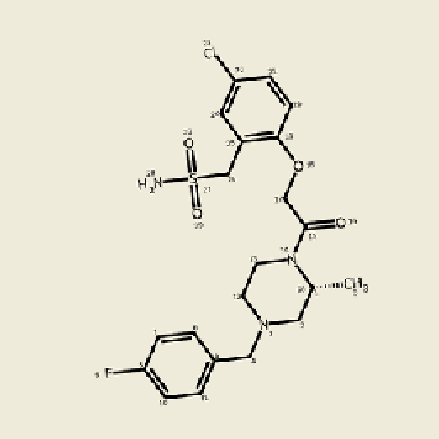 C[C@@H]1CN(Cc2ccc(F)cc2)CCN1C(=O)COc1ccc(Cl)cc1CS(N)(=O)=O